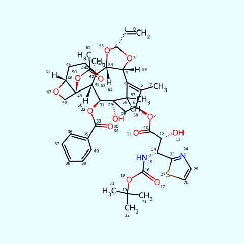 C=C[C@@H]1O[C@@H]2C3=C(C)[C@@H](OC(=O)[C@H](O)[C@@H](NC(=O)OC(C)(C)C)c4nccs4)C[C@@](O)([C@@H](OC(=O)c4ccccc4)[C@H]4[C@@](C)(CC[C@H]5OC[C@]54OC(C)=O)[C@@H]2O1)C3(C)C